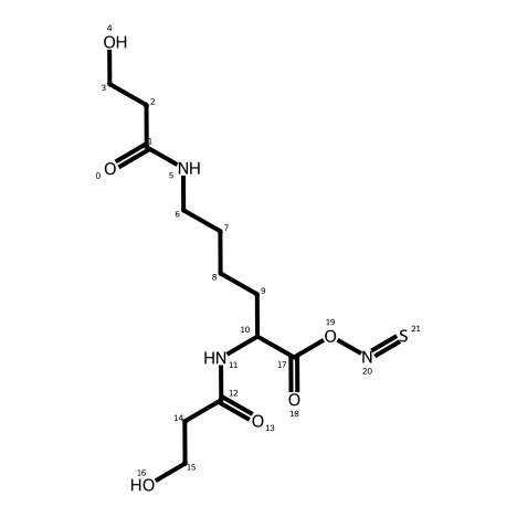 O=C(CCO)NCCCCC(NC(=O)CCO)C(=O)ON=S